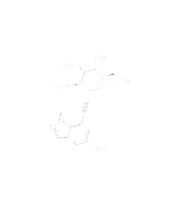 CCCCc1cc(C#C[C@H]2O[C@H](CO)[C@@H](O)[C@H](O)[C@@H]2O)c2c(cnn2C)c1